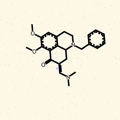 COc1cc2c3c(c1OC)C(=O)/C(=C/N(C)C)CC3N(Cc1ccccc1)CC2